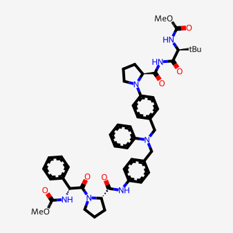 COC(=O)N[C@H](C(=O)NC(=O)[C@@H]1CCCN1c1ccc(CN(Cc2ccc(NC(=O)[C@@H]3CCCN3C(=O)[C@H](NC(=O)OC)c3ccccc3)cc2)c2ccccc2)cc1)C(C)(C)C